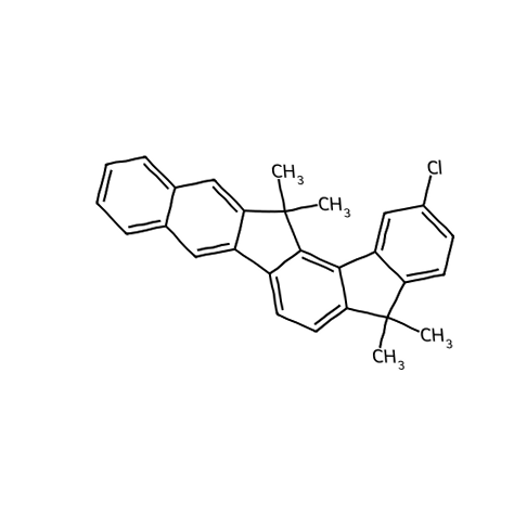 CC1(C)c2ccc(Cl)cc2-c2c1ccc1c2C(C)(C)c2cc3ccccc3cc2-1